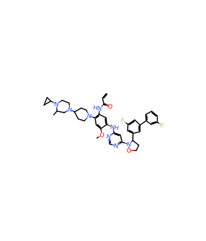 C=CC(=O)Nc1cc(Nc2cc(N3OCCC3c3cc(F)cc(-c4cccc(F)c4)c3)ncn2)c(OC)cc1N1CCC(N2CCN(C3CC3)C(C)C2)CC1